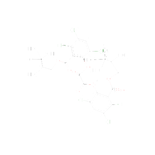 CCC(C)(C)C(C)COC(=O)c1c(Cl)c(Cl)cc(Cl)c1OC(=O)C(=O)Oc1c(Cl)cc(Cl)c(Cl)c1C(=O)OCC(C)C(C)(C)CC